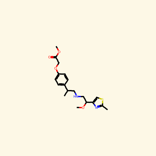 COC(=O)COc1ccc(C(C)CNCC(OC)c2csc(C)n2)cc1